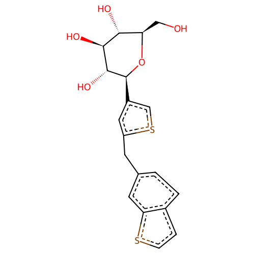 OC[C@H]1O[C@@H](c2csc(Cc3ccc4ccsc4c3)c2)[C@H](O)[C@@H](O)[C@@H]1O